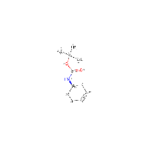 CC(C)(C)OC(=O)N[C@H]1CC#CCC1